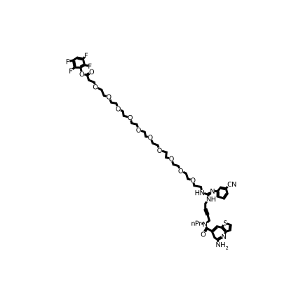 CCCN(CC#CCN/C(=N\c1cccc(C#N)c1)NCCOCCOCCOCCOCCOCCOCCOCCOCCOCCOCCC(=O)Oc1c(F)c(F)cc(F)c1F)C(=O)C1=Cc2sccc2N=C(N)C1